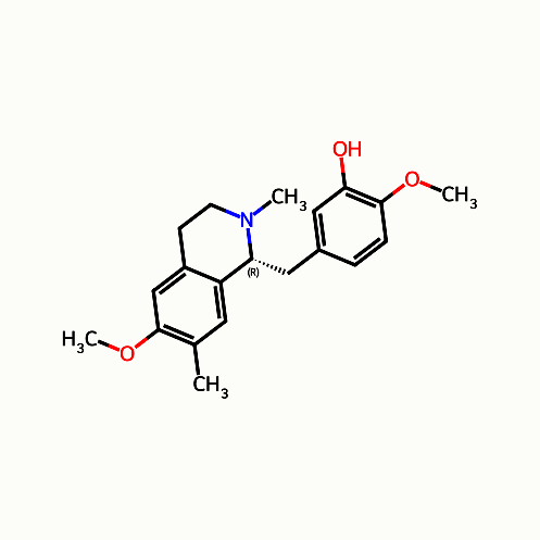 COc1cc2c(cc1C)[C@@H](Cc1ccc(OC)c(O)c1)N(C)CC2